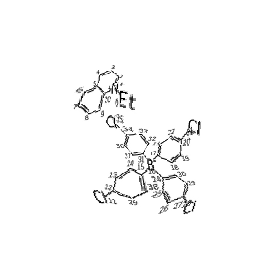 CC[n+]1cccc2ccccc21.Clc1ccc([B-](c2ccc(Cl)cc2)(c2ccc(Cl)cc2)c2ccc(Cl)cc2)cc1